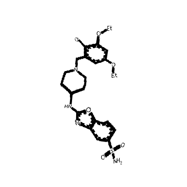 CCOc1cc(CN2CCC(Nc3nc4cc(S(N)(=O)=O)ccc4o3)CC2)c(Cl)c(OCC)c1